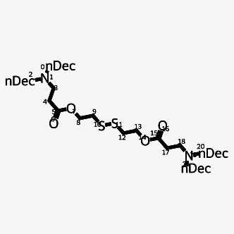 CCCCCCCCCCN(CCCCCCCCCC)CCC(=O)OCCSSCCOC(=O)CCN(CCCCCCCCCC)CCCCCCCCCC